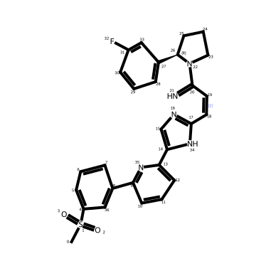 CS(=O)(=O)c1cccc(-c2cccc(-c3cnc(/C=C\C(=N)N4CCC[C@@H]4c4cccc(F)c4)[nH]3)n2)c1